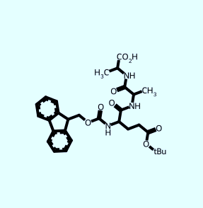 CC(NC(=O)C(C)NC(=O)C(CCC(=O)OC(C)(C)C)NC(=O)OCC1c2ccccc2-c2ccccc21)C(=O)O